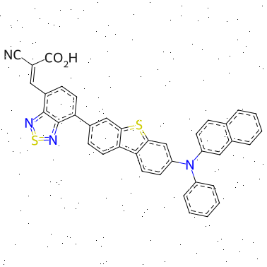 N#CC(=Cc1ccc(-c2ccc3c(c2)sc2cc(N(c4ccccc4)c4ccc5ccccc5c4)ccc23)c2nsnc12)C(=O)O